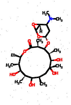 CC[C@H]1OC(=O)[C@H](C)[C@@H](O[C@H]2CC(N(C)C)[C@@H]3OC3O2)[C@H](C)[C@@H](O)[C@](C)(O)C[C@@H](C)C(O)[C@H](C)[C@@H](O)[C@H]1C